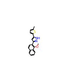 COc1c(-c2cc(-c3ccc(C)s3)[nH]n2)ccc2ccccc12